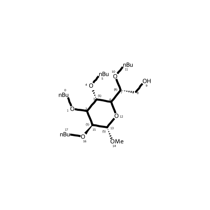 CCCCOC1[C@H](OCCCC)C([C@@H](CO)OCCCC)O[C@H](OC)[C@H]1OCCCC